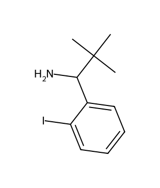 CC(C)(C)C(N)c1ccccc1I